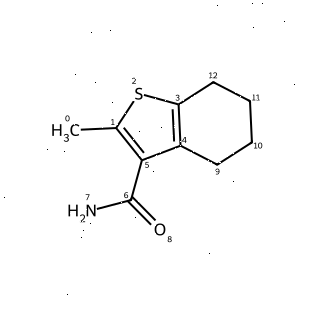 Cc1sc2c(c1C(N)=O)CCCC2